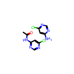 CC(=O)Nc1cc(Cl)ncn1.Nc1cc(Cl)ncn1